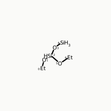 CCO[SiH](O[SiH3])OCC